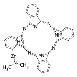 C[N](C)[Zn][c]1cccc2c3nc4nc(nc5[nH]c(nc6nc(nc([nH]3)c12)-c1ccccc1-6)c1ccccc51)-c1ccccc1-4